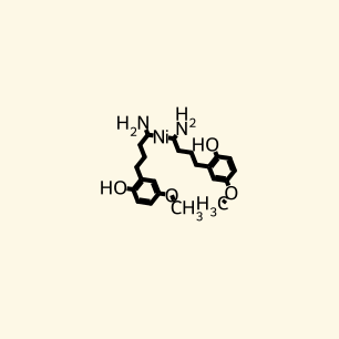 COc1ccc(O)c(CCC[CH](N)[Ni][CH](N)CCCc2cc(OC)ccc2O)c1